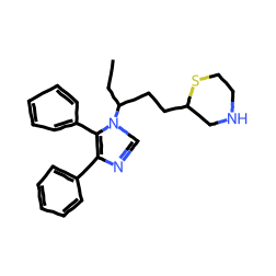 CCC(CCC1CNCCS1)n1cnc(-c2ccccc2)c1-c1ccccc1